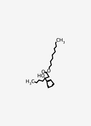 CCCCCCCCCCOC(=O)CC(O)(CCCC)c1ccccc1